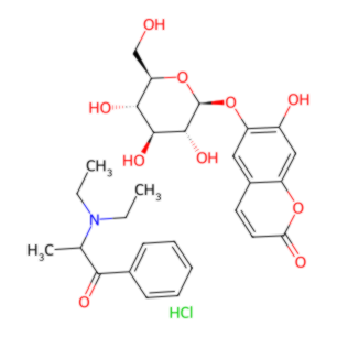 CCN(CC)C(C)C(=O)c1ccccc1.Cl.O=c1ccc2cc(O[C@@H]3O[C@H](CO)[C@@H](O)[C@H](O)[C@H]3O)c(O)cc2o1